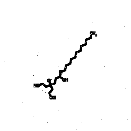 CCCCCCCCCCCCOC(O)CC[N+]([O-])(CCO)CCO